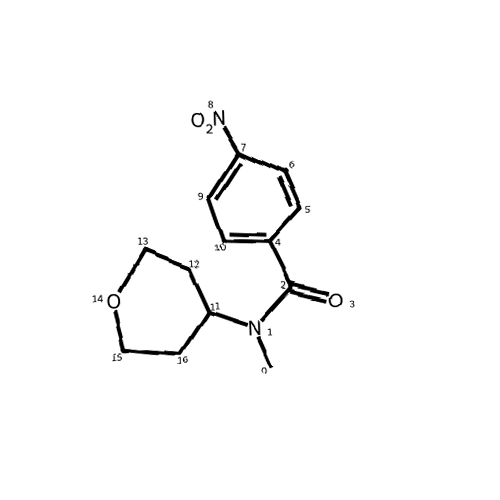 CN(C(=O)c1ccc([N+](=O)[O-])cc1)C1CCOCC1